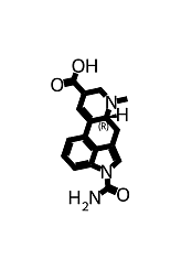 CN1CC(C(=O)O)C=C2c3cccc4c3c(cn4C(N)=O)C[C@H]21